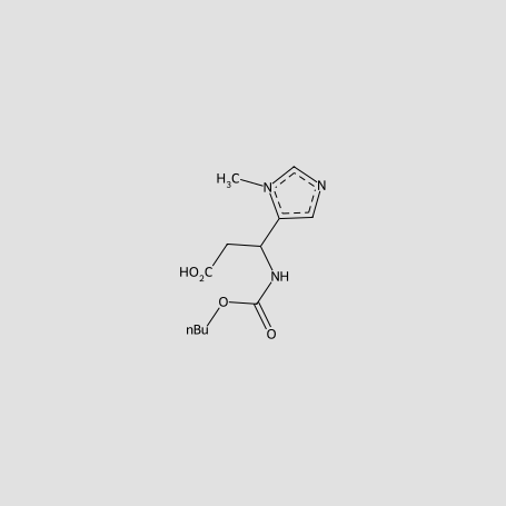 CCCCOC(=O)NC(CC(=O)O)c1cncn1C